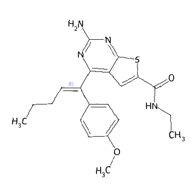 CCC/C=C(\c1ccc(OC)cc1)c1nc(N)nc2sc(C(=O)NCC)cc12